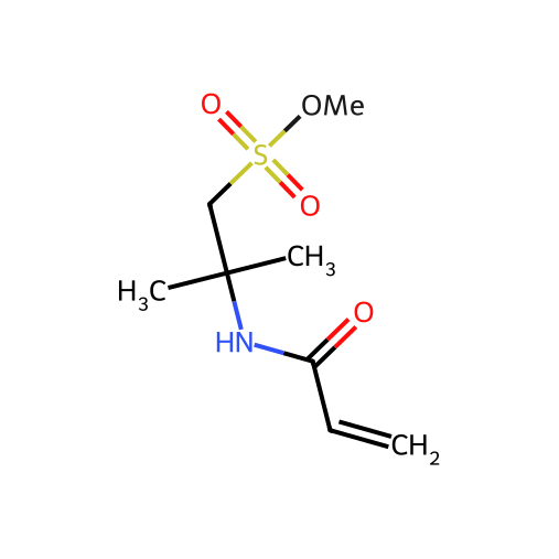 C=CC(=O)NC(C)(C)CS(=O)(=O)OC